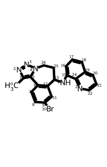 Cc1nnn2c1-c1ccc(Br)cc1C(Nc1cccc3cccnc13)CC2